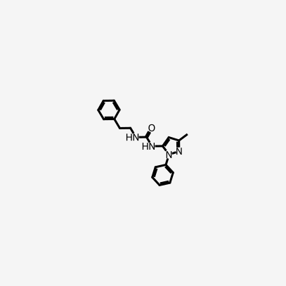 Cc1cc(NC(=O)NCCc2ccccc2)n(-c2ccccc2)n1